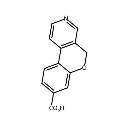 O=C(O)c1ccc2c(c1)OCc1cnccc1-2